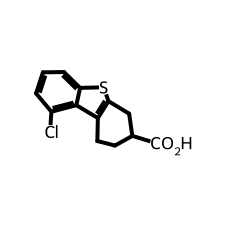 O=C(O)C1CCc2c(sc3cccc(Cl)c23)C1